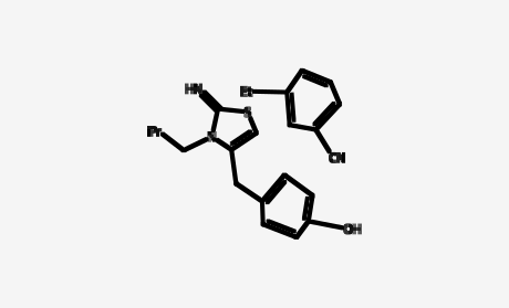 CC(C)Cn1c(Cc2ccc(O)cc2)csc1=N.CCc1cccc(C#N)c1